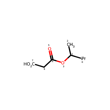 CC(C)C(C)OC(=O)CC(=O)O